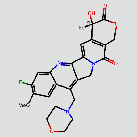 CC[C@@]1(O)C(=O)OCc2c1cc1n(c2=O)Cc2c-1nc1cc(F)c(OC)cc1c2CN1CCOCC1